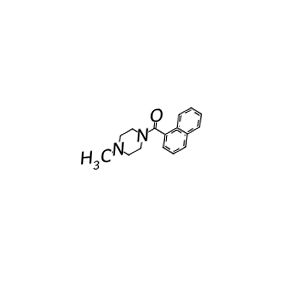 CN1CCN(C(=O)c2cccc3ccccc23)CC1